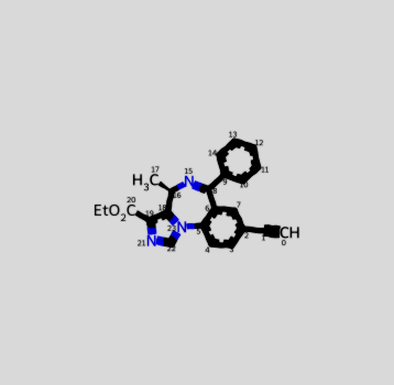 C#Cc1ccc2c(c1)C(c1ccccc1)=N[C@H](C)c1c(C(=O)OCC)ncn1-2